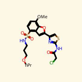 CCCOCCCNS(=O)(=O)c1ccc(OC)c2oc(-c3csc(NC(=O)CCl)n3)cc12